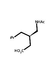 CC(=O)NC[C@@H](CC(=O)O)CC(C)C